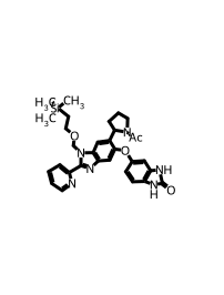 CC(=O)N1CCCC1c1cc2c(cc1Oc1ccc3[nH]c(=O)[nH]c3c1)nc(-c1ccccn1)n2COCC[Si](C)(C)C